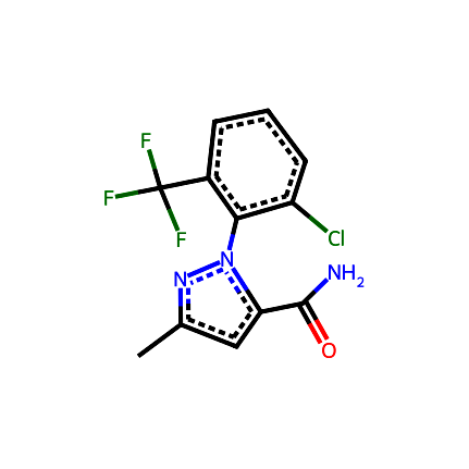 Cc1cc(C(N)=O)n(-c2c(Cl)cccc2C(F)(F)F)n1